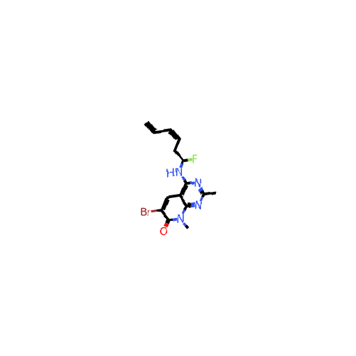 C=C/C=C\CC(F)Nc1nc(C)nc2c1cc(Br)c(=O)n2C